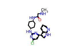 CNCC(=O)N[C@H]1CC[C@H](Nc2nc(Cl)cc(-c3c[nH]c4ncccc34)n2)CC1